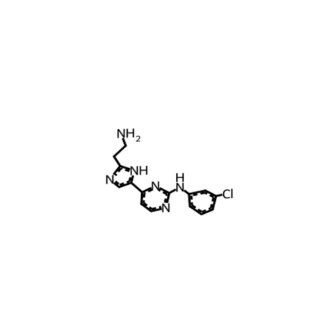 NCCc1ncc(-c2ccnc(Nc3cccc(Cl)c3)n2)[nH]1